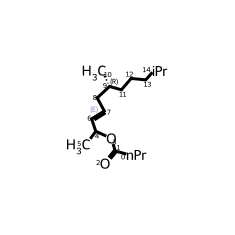 CCCC(=O)OC(C)/C=C/C[C@H](C)CCCC(C)C